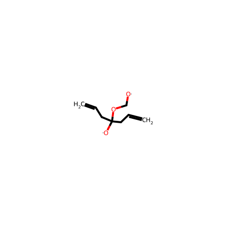 C=CCC([O])(CC=C)OC[O]